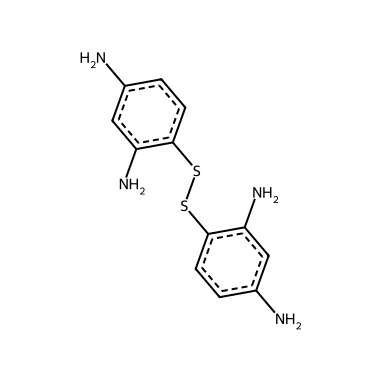 Nc1ccc(SSc2ccc(N)cc2N)c(N)c1